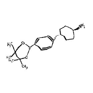 CC1(C)OB(c2ccc([C@H]3CC[C@H](N)CC3)cc2)OC1(C)C